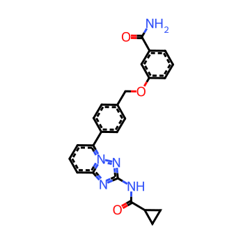 NC(=O)c1cccc(OCc2ccc(-c3cccc4nc(NC(=O)C5CC5)nn34)cc2)c1